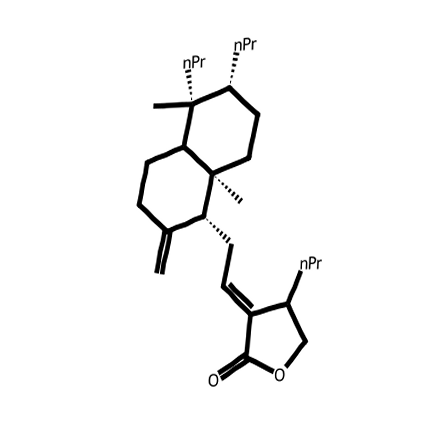 C=C1CCC2[C@](C)(CCC)[C@H](CCC)CC[C@@]2(C)[C@@H]1C/C=C1/C(=O)OCC1CCC